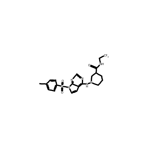 Cc1ccc(S(=O)(=O)n2ccc3c(NN4CCCC(C(=O)NCC(F)(F)F)C4)ncnc32)cc1